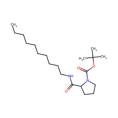 CCCCCCCCCCNC(=O)C1CCCN1C(=O)OC(C)(C)C